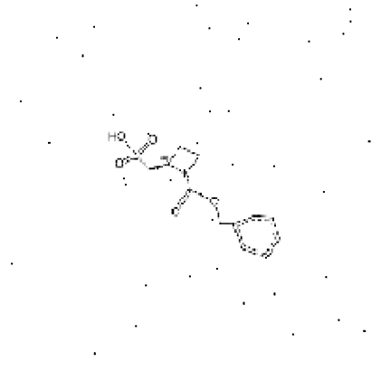 O=C(OCc1ccccc1)N1CC[C@@H]1CS(=O)(=O)O